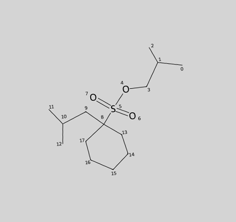 CC(C)COS(=O)(=O)C1(CC(C)C)CCCCC1